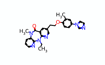 CCN1c2ncc(CCOc3ccc(-n4ccnc4)cc3C)cc2C(=O)N(C)c2cccnc21